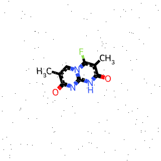 Cc1cn2c(F)c(C)c(=O)[nH]c2nc1=O